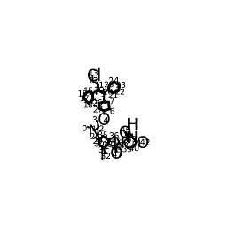 CN(CCOc1ccc(/C(=C(/CCCl)c2ccccc2)c2ccccc2)cc1)Cc1cc(F)c2c(c1)CN(C1CCC(=O)NC1=O)C2=O